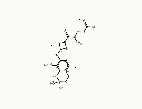 NC(=O)CCC(N)C(=O)N1CC(Oc2ccc3c(c2C(=O)O)O[B-](O)(O)CC3)C1